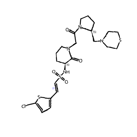 O=C1[C@@H](NS(=O)(=O)/C=C/c2ccc(Cl)s2)CCCN1CC(=O)N1CCC[C@H]1CN1CCSCC1